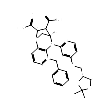 CC1(C)OC[C@H](COc2ccnc(N3c4c(ccc[n+]4Cc4ccccc4)N4C[C@@H]3C(C(N)=O)C4C(N)=O)c2)O1